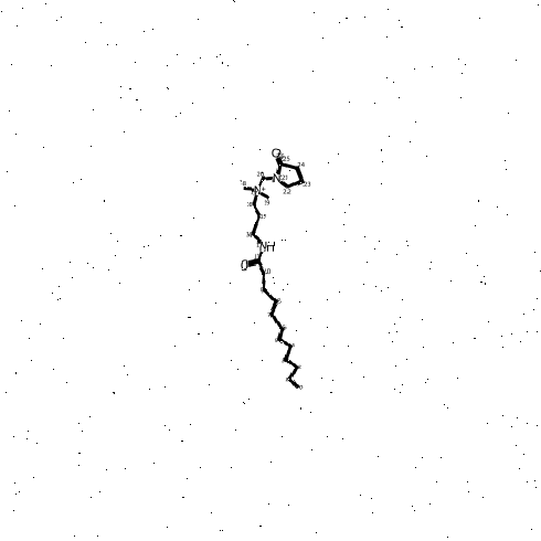 CCCCCCCCCCCC(=O)NCCC[N+](C)(C)CN1CCCC1=O